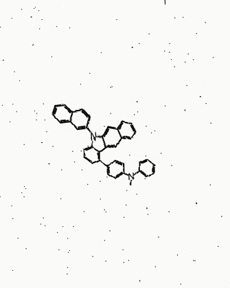 CN(c1ccccc1)c1ccc(-c2cccc3c2c2cc4ccccc4cc2n3-c2ccc3ccccc3c2)cc1